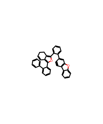 c1c(-c2ccccc2-c2oc(-c3ccccc3-c3ccccc3)c3c2CCC=C3)cc2oc3ccccc3c2c#1